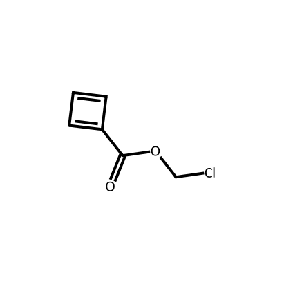 O=C(OCCl)C1=CC=C1